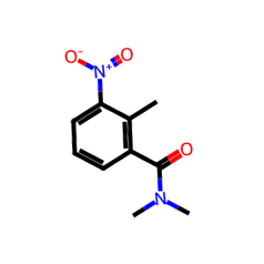 Cc1c(C(=O)N(C)C)cccc1[N+](=O)[O-]